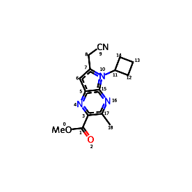 COC(=O)c1nc2cc(CC#N)n(C3CCC3)c2nc1C